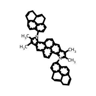 Cc1c(C)n(-c2ccc3c4c5c(ccc24)C=CCC5=CC3)c2c1cc1ccc3c4c(ccc2c14)cc1c(C)c(C)n(-c2ccc4c5c6c(ccc25)C=CCC6=CC4)c13